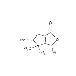 CC(C)C1OC(=O)C2CC(C(C)C)C(C)(C)C21